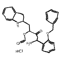 Cl.NC(C(=O)C(CC1Cc2ccccc2N1)OC=O)c1ccccc1OCc1ccccc1